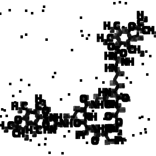 Cc1c(C)c(S(=O)(=O)NC(=N)NCCC[C@H](NC(=O)CNC(=O)[C@H](CCCNC(=N)NS(=O)(=O)c2c(C)c(C)c3c(c2C)CC(C)(C)O3)NC(=O)[C@@H](NC(=O)[C@@H](N)CC(C)C)C(C)C)C(=O)NCC(=O)OC(C)(C)C)c(C)c2c1OC(C)(C)C2